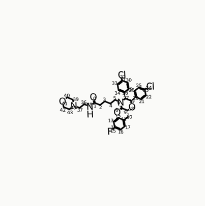 O=C(CCCCN1C(=O)[C@@H](Cc2ccc(F)cc2)O[C@H](c2ccc(Cl)cc2)[C@@H]1c1ccc(Cl)cc1)NCCN1CCOCC1